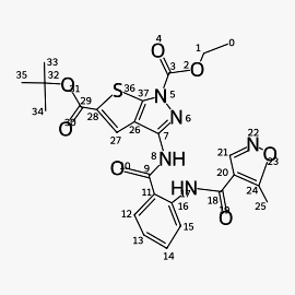 CCOC(=O)n1nc(NC(=O)c2ccccc2NC(=O)c2cnoc2C)c2cc(C(=O)OC(C)(C)C)sc21